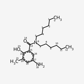 CCCCCCN(CCCCCC)C(=O)c1cc(N)cc(C)c1O